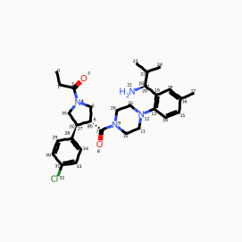 CCC(=O)N1C[C@H](C(=O)N2CCN(c3ccc(C)cc3[C@@H](N)C(C)C)CC2)[C@@H](c2ccc(Cl)cc2)C1